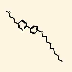 CCCCCCCCCCOc1ccc(-c2ccc(CCCOC)cn2)cc1